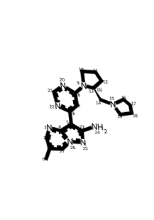 Cc1cnc2c(-c3cc(N4CCC[C@H]4CN4CCCC4)ncn3)c(N)nn2c1